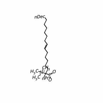 CCCCCCCCCCCCCCCCC=CCCCCCC(CCC)(P(=O)=O)[N+](C)(C)C